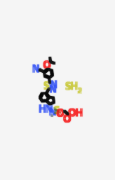 CC(C)Oc1ccc(-c2nnc(-c3cccc4c3CCC4NN(C)SOCC(=O)O)s2)cc1C#N.S